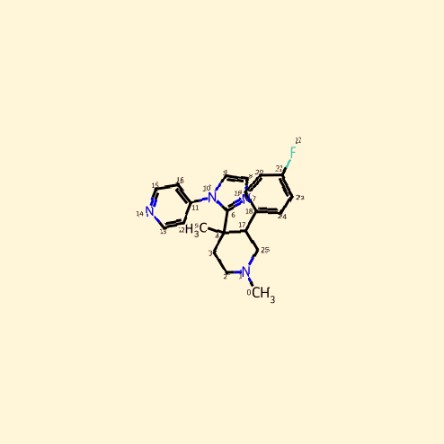 CN1CCC(C)(c2nccn2-c2ccncc2)C(c2ccc(F)cc2)C1